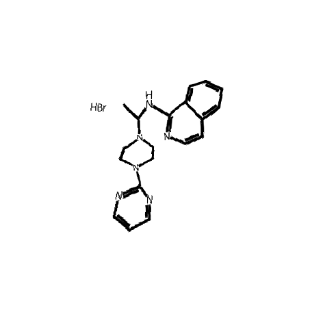 Br.CC(Nc1nccc2ccccc12)N1CCN(c2ncccn2)CC1